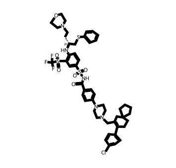 O=C(NS(=O)(=O)c1ccc(N[C@H](CCN2CCOCC2)CSc2ccccc2)c(S(=O)(=O)C(F)(F)F)c1)c1ccc(N2CCN(CC3=C(c4ccc(Cl)cc4)CCC4(CCCC4)C3)CC2)cc1